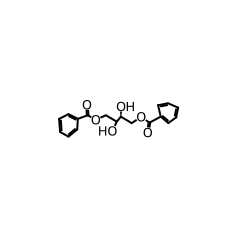 O=C(OCC(O)[C@@H](O)COC(=O)c1ccccc1)c1ccccc1